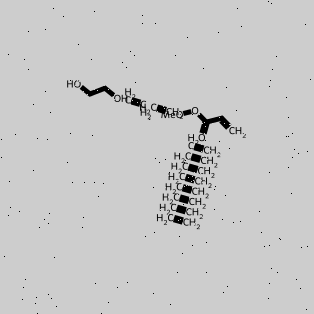 C=C.C=C.C=C.C=C.C=C.C=C.C=C.C=C.C=C.C=C.C=CC(=O)OOC.OCCO